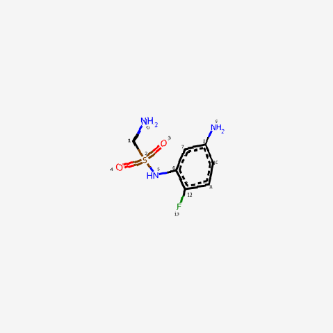 NCS(=O)(=O)Nc1cc(N)ccc1F